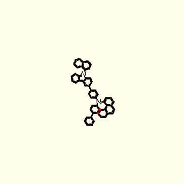 c1ccc(-c2ccc(N(c3ccc(-c4ccc5c(c4)c4ccccc4n5-c4cccc5ccccc45)cc3)c3cccc4ccc5ccccc5c34)cc2)cc1